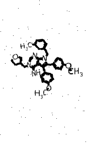 COc1ccc(-c2c(-c3ccc(OC)cc3)n(CC3=CC=CC(C)C3)c3ncn(CC4CCOC4)c(=N)c23)cc1